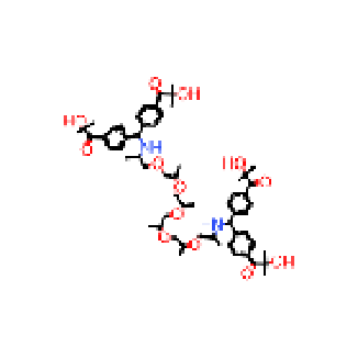 CC(COCC(C)OCC(C)OCC(C)OCC(C)OCC(C)NC(c1ccc(C(=O)C(C)(C)O)cc1)c1ccc(C(=O)C(C)(C)O)cc1)NC(c1ccc(C(=O)C(C)(C)O)cc1)c1ccc(C(=O)C(C)(C)O)cc1